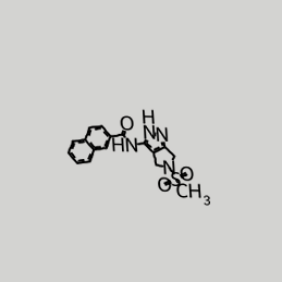 CS(=O)(=O)N1Cc2n[nH]c(NC(=O)c3ccc4ccccc4c3)c2C1